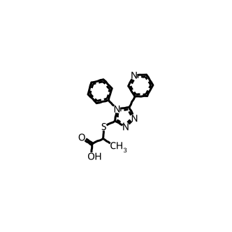 CC(Sc1nnc(-c2cccnc2)n1-c1ccccc1)C(=O)O